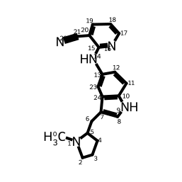 CN1CCCC1Cc1c[nH]c2ccc(Nc3ncccc3C#N)cc12